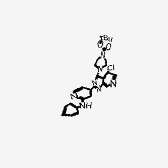 CC(C)(C)OC(=O)N1CCN(c2nc(-c3ccnc(Nc4ccccc4)c3)nc3cncc(Cl)c23)CC1